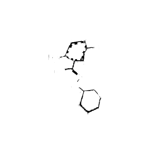 CCC/C(=N\OC1CCCCC1)c1cc(Cl)ccc1N